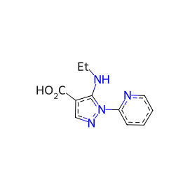 CCNc1c(C(=O)O)cnn1-c1ccccn1